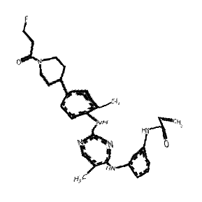 C=CC(=O)Nc1cccc(Nc2nc(Nc3ccc(C4CCN(C(=O)CCF)CC4)cc3C)ncc2C)c1